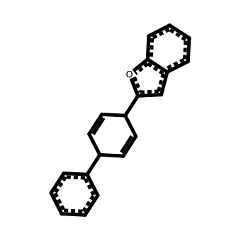 C1=CC(c2ccccc2)C=C[C]1c1cc2ccccc2o1